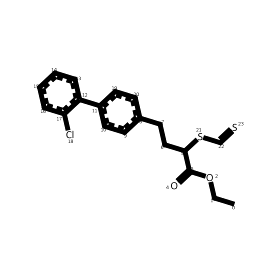 CCOC(=O)C(CCc1ccc(-c2ccccc2Cl)cc1)SC=S